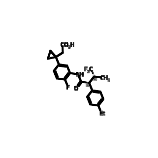 CCc1ccc([C@@H](C(=O)Nc2cc(C3(CC(=O)O)CC3)ccc2F)[C@@H](C)C(F)(F)F)cc1